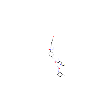 Cc1cccc(NC(=O)Cn2c(C(=O)NCC3CCC(C(=O)NCCCCCC(=O)O)CC3)cc3sccc32)c1